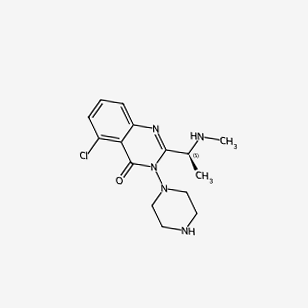 CN[C@@H](C)c1nc2cccc(Cl)c2c(=O)n1N1CCNCC1